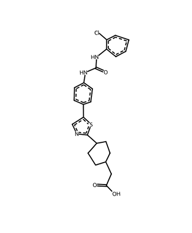 O=C(O)CC1CCC(c2ncc(-c3ccc(NC(=O)Nc4ccccc4Cl)cc3)s2)CC1